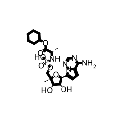 C[C@H](NP(=O)(O)OC[C@@]1(C)O[C@@H](c2ccc3c(N)ncnn23)[C@H](O)[C@@H]1O)C(=O)OC1CCCCC1